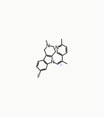 C/C(=C/n1c2c(c3ccc(F)cc31)CN(C)CC2)c1ccc(C)nc1